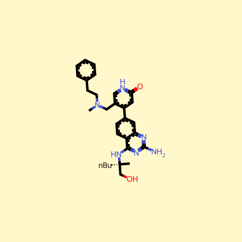 CCCC[C@](C)(CO)Nc1nc(N)nc2cc(-c3cc(=O)[nH]cc3CN(C)CCc3ccccc3)ccc12